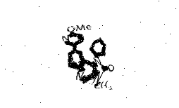 COc1ccc(-c2ccc3ncc4c(c3c2)n(C2CC[CH]CC2)c(=O)n4C)cn1